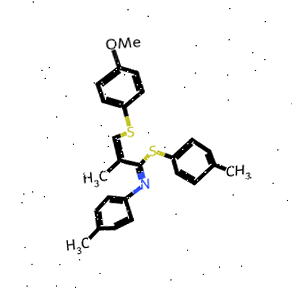 COc1ccc(SC=C(C)C(=Nc2ccc(C)cc2)Sc2ccc(C)cc2)cc1